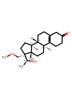 COC[C@]1([C@H](C)O)CC[C@H]2[C@@H]3CCC4=C(CCC(=O)C4)[C@H]3CC[C@@]21C